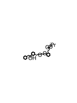 CC(C)OC(=O)CCc1ccccc1OCCOCCc1cccc([C@@H](O)Cc2ccccc2)c1